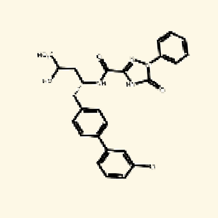 O=C(N[C@H](Cc1ccc(-c2cccc(Cl)c2)cc1)CC(O)C(=O)O)c1nn(-c2ccccc2)c(=O)[nH]1